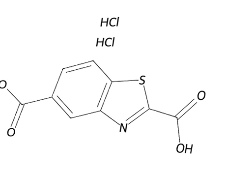 Cl.Cl.O=C(O)c1ccc2sc(C(=O)O)nc2c1